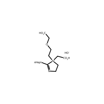 CCCCCCCC1=NCC[N+]1(CCOCC(=O)O)CC(=O)O.[OH-]